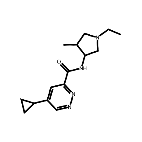 CCN1CC(C)C(NC(=O)c2cc(C3CC3)cnn2)C1